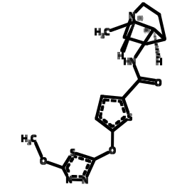 COc1nnc(Oc2ccc(C(=O)N[C@@H]3C4CCN(CC4)[C@H]3C)s2)s1